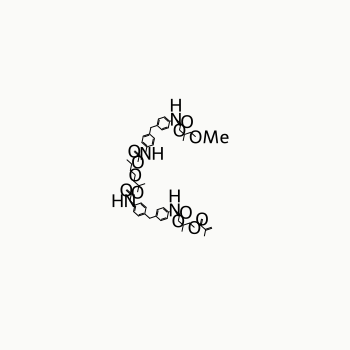 C=C(C)C(=O)OCC(C)OC(=O)Nc1ccc(Cc2ccc(NC(=O)OC(C)COCC(C)OC(=O)Nc3ccc(Cc4ccc(NC(=O)OC(C)COC)cc4)cc3)cc2)cc1